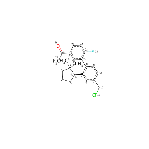 CC1(C)CCC[C@@H]1c1cc(CCl)ccc1-c1cc(C(=O)C(F)(F)F)ccc1F